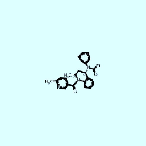 CCC(=O)N(c1ccccc1)[C@H]1C[C@@H](C)N(C(=O)c2ccc(C)nc2)c2ccccc21